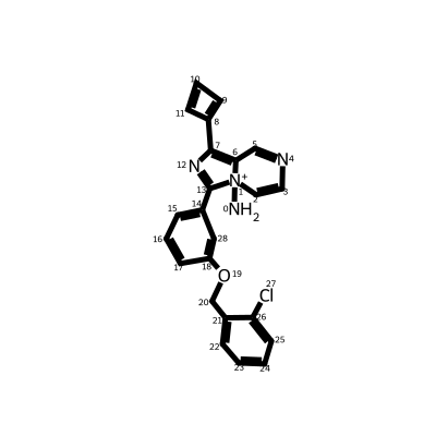 N[N+]12C=CN=CC1=C(C1=CC=C1)N=C2c1cccc(OCc2ccccc2Cl)c1